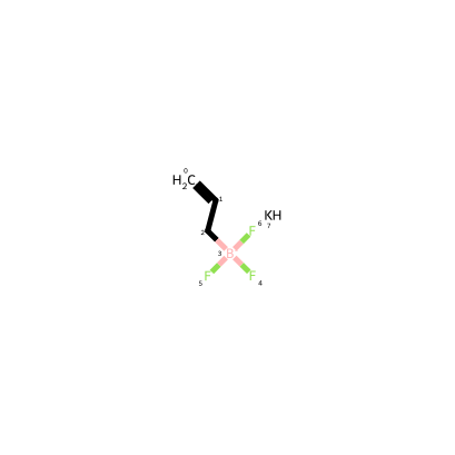 C=CC[B-](F)(F)F.[KH]